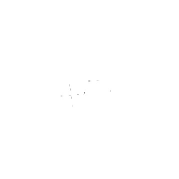 CC(OC(C)(C)C)C(=O)C(C)(C)C